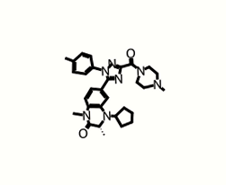 Cc1ccc(-n2nc(C(=O)N3CCN(C)CC3)nc2-c2ccc3c(c2)N(C2CCCC2)[C@H](C)C(=O)N3C)cc1